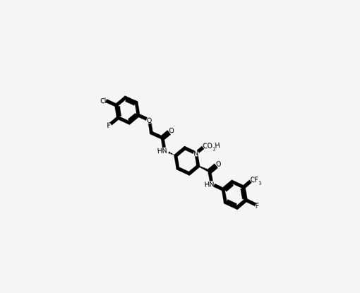 O=C(COc1ccc(Cl)c(F)c1)N[C@H]1CC[C@H](C(=O)Nc2ccc(F)c(C(F)(F)F)c2)N(C(=O)O)C1